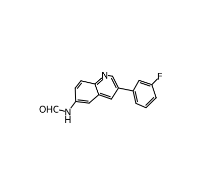 O=CNc1ccc2ncc(-c3cccc(F)c3)cc2c1